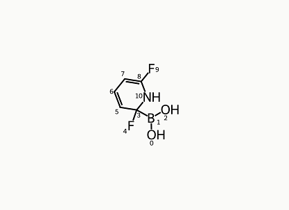 OB(O)C1(F)C=CC=C(F)N1